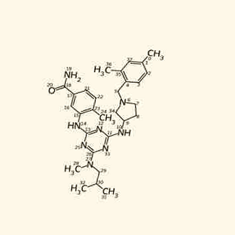 Cc1ccc(CN2CCC(Nc3nc(Nc4cc(C(N)=O)ccc4C)nc(N(C)CC(C)C)n3)C2)c(C)c1